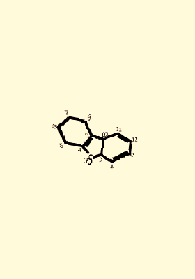 C1=CC2SC3=C(CCCC3)C2C=C1